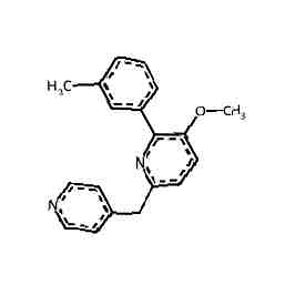 COc1ccc(Cc2ccncc2)nc1-c1cccc(C)c1